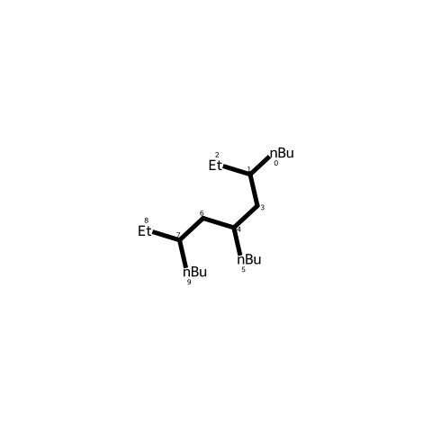 CCCCC(CC)CC(CCCC)CC(CC)CCCC